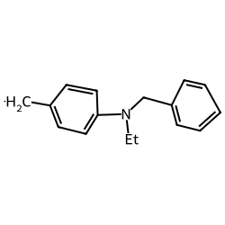 [CH2]c1ccc(N(CC)Cc2ccccc2)cc1